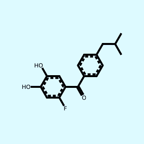 CC(C)Cc1ccc(C(=O)c2cc(O)c(O)cc2F)cc1